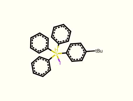 CC(C)(C)c1ccc([SH](I)(c2ccccc2)(c2ccccc2)c2ccccc2)cc1